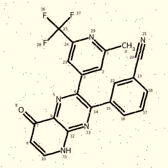 Cc1cc(-c2nc3c(=O)cc[nH]c3nc2-c2cccc(C#N)c2)cc(C(F)(F)F)n1